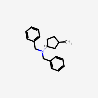 CC1CC[C@@H](N(Cc2ccccc2)Cc2ccccc2)C1